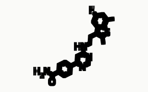 Cc1sc2c(C)cc(F)cc2c1CCNc1cc(-c2ccc(C(N)=O)cc2)ncn1